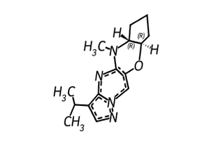 CC(C)c1cnn2cc3c(nc12)N(C)[C@@H]1CCC[C@H]1O3